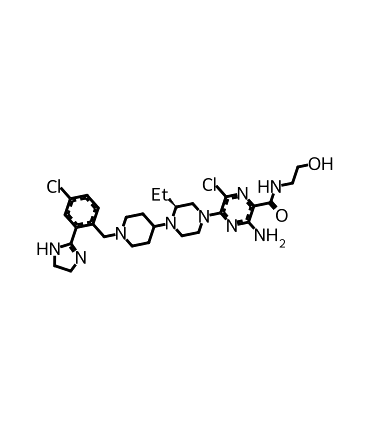 CC[C@H]1CN(c2nc(N)c(C(=O)NCCO)nc2Cl)CCN1C1CCN(Cc2ccc(Cl)cc2C2=NCCN2)CC1